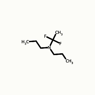 CCCN(CCC)C(C)(F)F